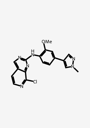 COc1cc(-c2cnn(C)c2)ccc1Nc1ncc2ccnc(Cl)c2n1